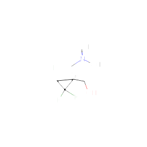 CN(C)C[C@@]1(CO)CC1(F)F.Cl